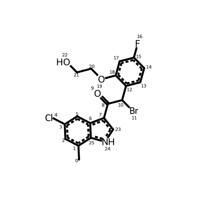 Cc1cc(Cl)cc2c(C(=O)C(Br)c3ccc(F)cc3OCCO)c[nH]c12